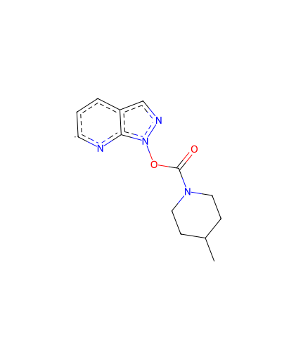 CC1CCN(C(=O)On2ncc3cc[c]nc32)CC1